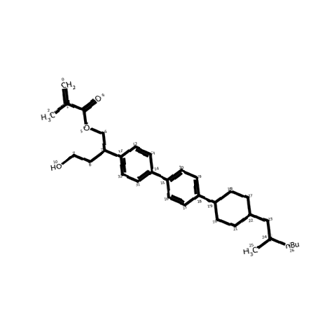 C=C(C)C(=O)OCC(CCO)c1ccc(-c2ccc(C3CCC(CC(C)CCCC)CC3)cc2)cc1